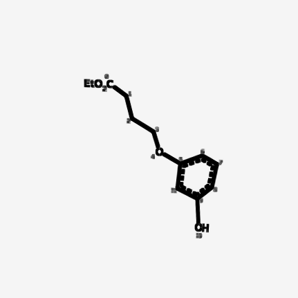 CCOC(=O)CCCOc1cccc(O)c1